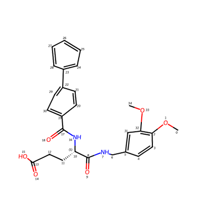 COc1ccc(CNC(=O)[C@H](CCC(=O)O)NC(=O)c2ccc(-c3ccccc3)cc2)cc1OC